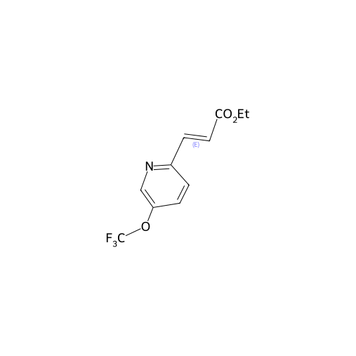 CCOC(=O)/C=C/c1ccc(OC(F)(F)F)cn1